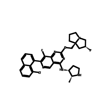 C[C@H]1NCC[C@H]1Nc1nc(OC[C@@]23CCCN2C[C@H](F)C3)nc2c(F)c(-c3cccc4cccc(Cl)c34)ncc12